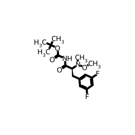 CON(C)[C@@H](Cc1cc(F)cc(F)c1)C(=O)NC(=O)OC(C)(C)C